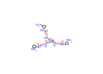 Nc1cccc(NC(=O)COCCNC(=O)CC(N)(CC(=O)NCCOCC(=O)Nc2cccc(N)c2)CC(=O)NCCOCC(=O)Nc2cccc(N)c2)c1